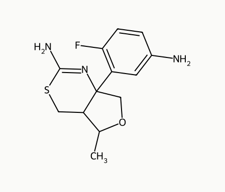 CC1OCC2(c3cc(N)ccc3F)N=C(N)SCC12